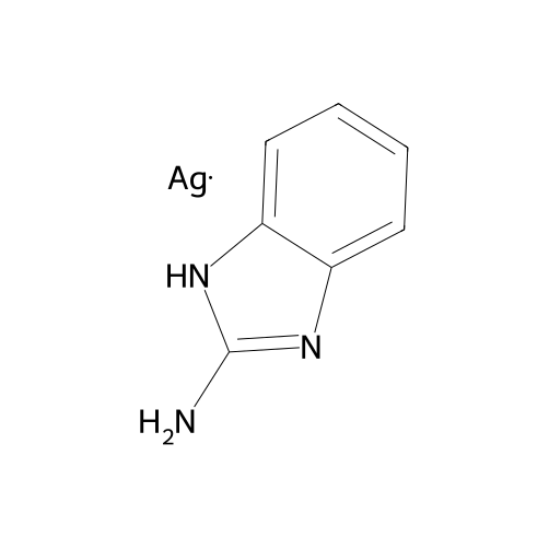 Nc1nc2ccccc2[nH]1.[Ag]